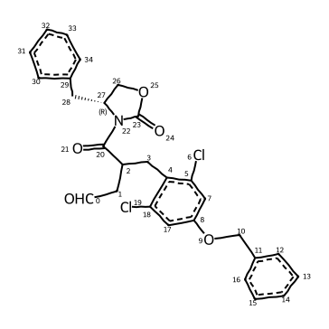 O=CCC(Cc1c(Cl)cc(OCc2ccccc2)cc1Cl)C(=O)N1C(=O)OC[C@H]1Cc1ccccc1